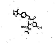 Cc1ncsc1-c1ccc(CNC(=O)[C@@H]2CC(O)CN2C(=O)[C@@H](NC(C)I)C(C)(C)C)cc1